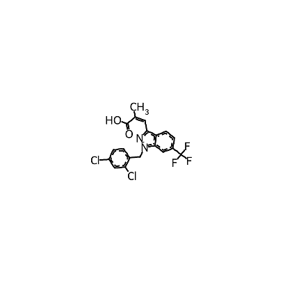 CC(=Cc1nn(Cc2ccc(Cl)cc2Cl)c2cc(C(F)(F)F)ccc12)C(=O)O